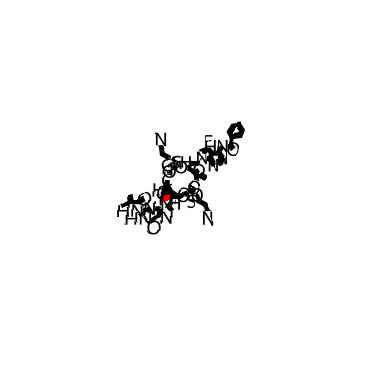 C#C[C@@]12COP(=S)(OCCC#N)O[C@@H]3[C@H](F)[C@@H](COP(=S)(OCCC#N)O[C@H]1C[C@H](n1cc(F)c4c(NC(=O)c5ccccc5)ncnc41)O2)O[C@H]3n1cnc2c(=O)[nH]c(NC(=O)C(C)C)nc21